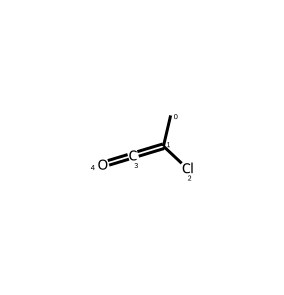 CC(Cl)=C=O